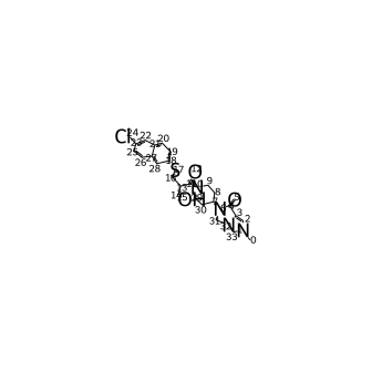 CN1C=C2C(=O)N(C3CCN(C(=O)C(CO)CSc4ccc5cc(Cl)ccc5c4)CC3)CN2C1